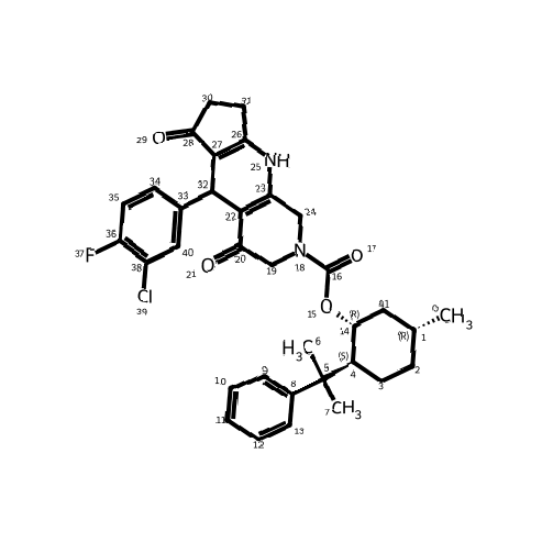 C[C@@H]1CC[C@@H](C(C)(C)c2ccccc2)[C@H](OC(=O)N2CC(=O)C3=C(C2)NC2=C(C(=O)CC2)C3c2ccc(F)c(Cl)c2)C1